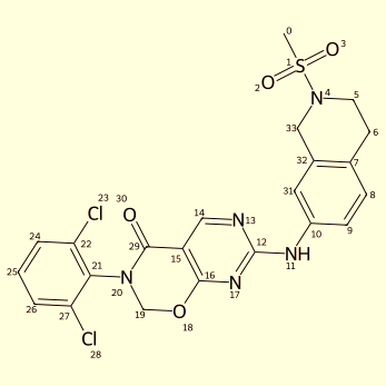 CS(=O)(=O)N1CCc2ccc(Nc3ncc4c(n3)OCN(c3c(Cl)cccc3Cl)C4=O)cc2C1